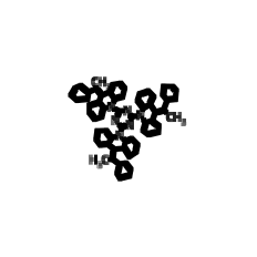 CC(=C1c2ccccc2N(c2nc(N3c4ccccc4C(=C(C)c4ccccc4)c4ccccc43)nc(N3c4ccccc4C(=C(C)c4ccccc4)c4ccccc43)n2)c2ccccc21)c1ccccc1